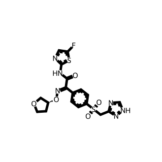 O=C(Nc1ncc(F)s1)/C(=N/O[C@@H]1CCOC1)c1ccc(S(=O)(=O)Cc2nc[nH]n2)cc1